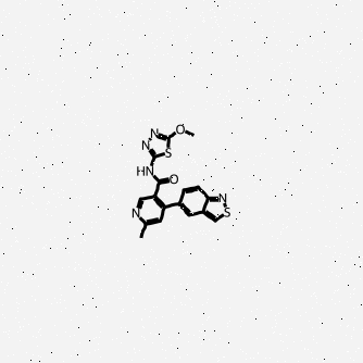 COc1nnc(NC(=O)c2cnc(C)cc2-c2ccc3nscc3c2)s1